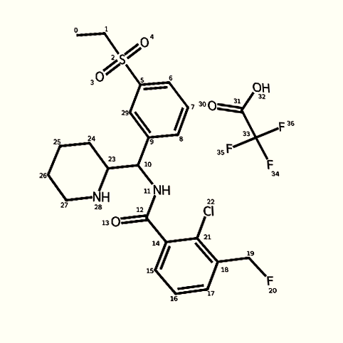 CCS(=O)(=O)c1cccc(C(NC(=O)c2cccc(CF)c2Cl)C2CCCCN2)c1.O=C(O)C(F)(F)F